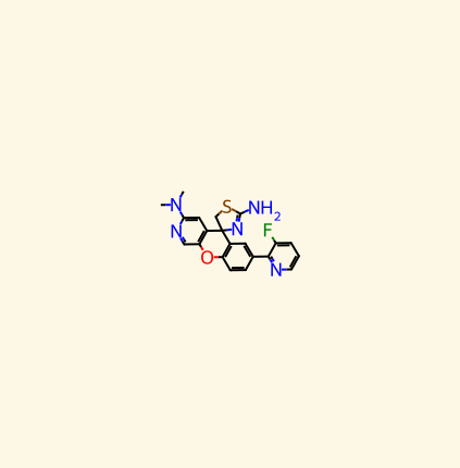 CN(C)c1cc2c(cn1)Oc1ccc(-c3ncccc3F)cc1C21CSC(N)=N1